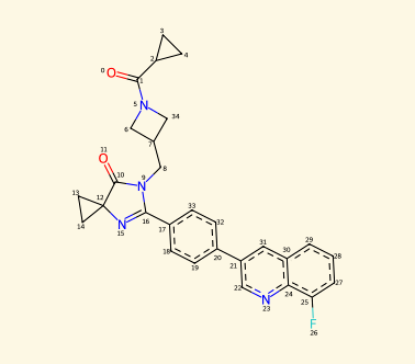 O=C(C1CC1)N1CC(CN2C(=O)C3(CC3)N=C2c2ccc(-c3cnc4c(F)cccc4c3)cc2)C1